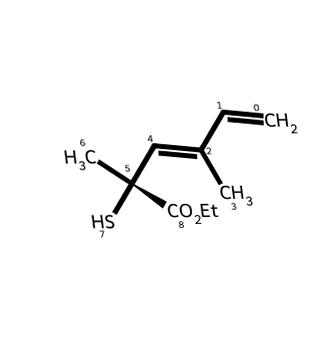 C=C/C(C)=C/[C@@](C)(S)C(=O)OCC